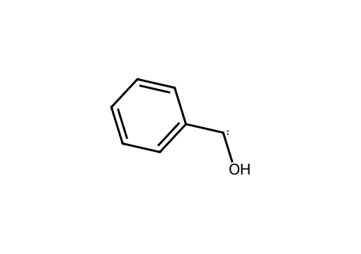 O[C]c1ccccc1